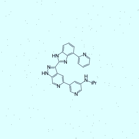 CC(C)Nc1cncc(-c2cc3c(-c4nc5c(-c6ccccn6)cccc5[nH]4)n[nH]c3cn2)c1